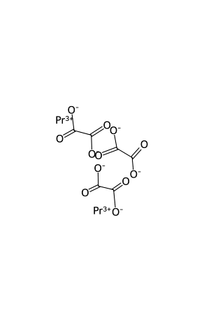 O=C([O-])C(=O)[O-].O=C([O-])C(=O)[O-].O=C([O-])C(=O)[O-].[Pr+3].[Pr+3]